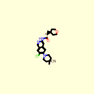 CC1(C#N)CCN(c2cc3cc(NC(=O)[C@@H]4CC45CCOCC5)ncc3cc2Cl)CC1